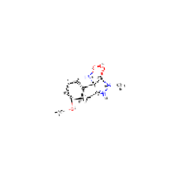 COc1cccc(C2(NO)C(=O)N(C)N=C2C)c1